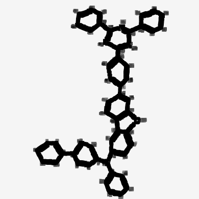 c1ccc(-c2ccc(N(c3ccccc3)c3ccc4oc5cc(-c6ccc(-c7nc(-c8ccccc8)nc(-c8ccccc8)n7)cc6)ccc5c4c3)cc2)cc1